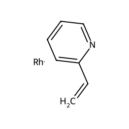 C=Cc1ccccn1.[Rh]